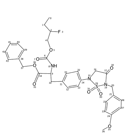 CCC(F)COC(=O)NC(Cc1ccc(N2CC(=O)N(Cc3ccc(OC)cc3)S2(=O)=O)cc1)C(=O)OCc1ccccc1